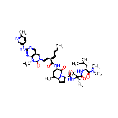 C/C=C/C=C(\C=C\N1Cc2cnc(Nc3ccc(C)nc3)nc2N(C)C1=O)C(=O)N[C@H]1CC(C)C2CC[C@@H](C(=O)NC(C)(C)C(=O)N[C@@H](CC(C)C)C(=O)N(C)C)N2C1=O